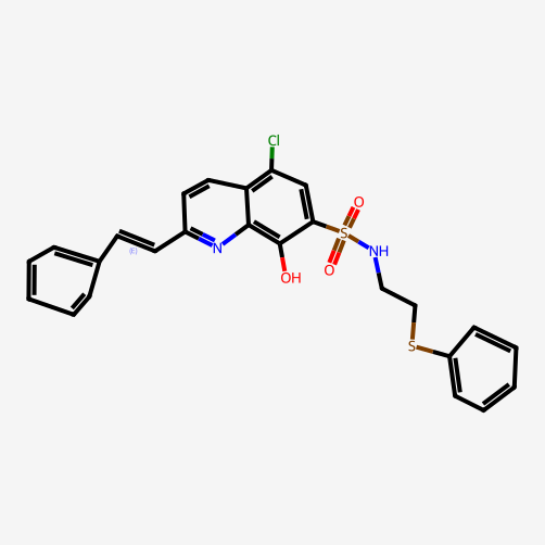 O=S(=O)(NCCSc1ccccc1)c1cc(Cl)c2ccc(/C=C/c3ccccc3)nc2c1O